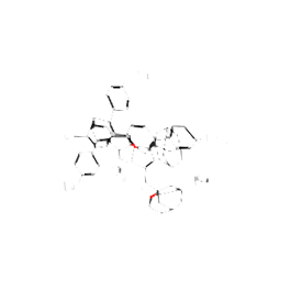 CC(C)(C)c1ccc(-c2ccc(-c3ccc(C(C)(C)C)cc3)c3c2C=C(CC24CC5CC(CC(C5)C2)C4)[CH]3[Zr]([CH3])([CH3])(=[SiH2])[CH]2C(CC34CC5CC(CC(C5)C3)C4)=Cc3c(-c4ccc(C(C)(C)C)cc4)ccc(-c4ccc(C(C)(C)C)cc4)c32)cc1.Cl.Cl